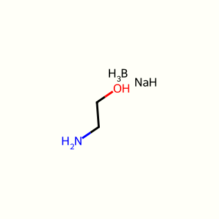 B.NCCO.[NaH]